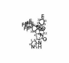 O=C(c1cc2ccncc2[nH]1)N1CCC2(S(=O)(=O)c3ccc(F)cc3)c3ccc(C(F)(C(F)(F)F)C(F)(F)F)cc3CC12